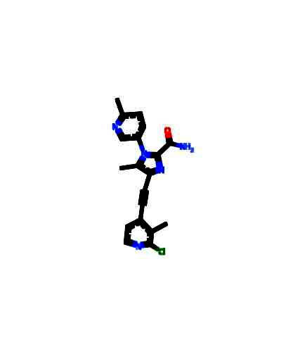 Cc1ccc(-n2c(C(N)=O)nc(C#Cc3ccnc(Cl)c3C)c2C)cn1